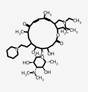 CCC1OC(=O)CC(O)C(C)C(O[C@@H]2O[C@H](C)[C@@H](O)[C@H](N(C)C)[C@H]2O)C(CCN2CCCCC2)CC(C)C(=O)C=CC(C)=CC1CN(CC)CC